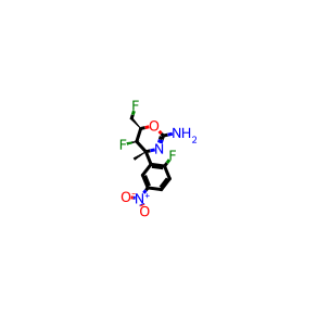 C[C@]1(c2cc([N+](=O)[O-])ccc2F)N=C(N)O[C@H](CF)[C@@H]1F